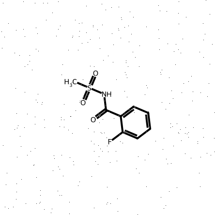 CS(=O)(=O)NC(=O)c1ccccc1F